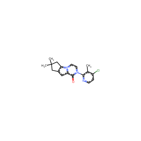 Cc1c(Cl)ccnc1-n1ccn2c3c(cc2c1=O)CC(C)(C)C3